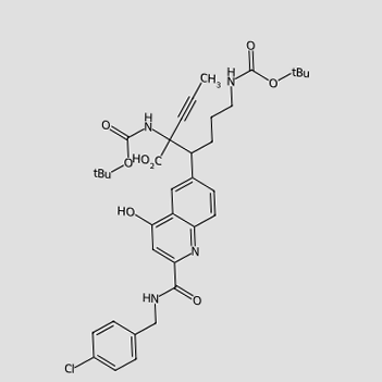 CC#CC(NC(=O)OC(C)(C)C)(C(=O)O)C(CCCNC(=O)OC(C)(C)C)c1ccc2nc(C(=O)NCc3ccc(Cl)cc3)cc(O)c2c1